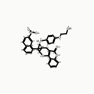 Nc1ccc(OCCO)cc1[C@@H]1c2c(c3ccccc3oc2=O)OC2C3(c4cccc5ccc([N+](=O)[O-])cc45)C[C@]213